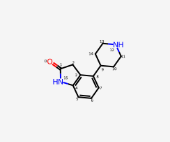 O=C1Cc2c(cccc2C2CCNCC2)N1